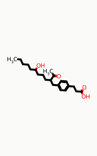 CCCCCC(O)CCCC(Cc1ccc(CCC(=O)O)cc1)C(C)=O